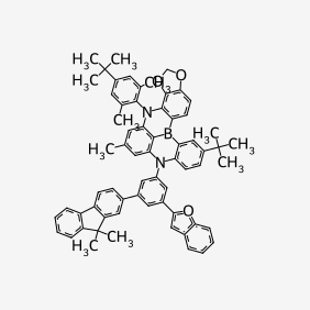 Cc1cc2c3c(c1)N(c1c(C)cc(C(C)(C)C)cc1C)c1c(ccc4c1OCO4)B3c1cc(C(C)(C)C)ccc1N2c1cc(-c2ccc3c(c2)C(C)(C)c2ccccc2-3)cc(-c2cc3ccccc3o2)c1